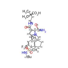 CC(C)(C)NS(=O)(=O)C1(C)C(C(F)(F)F)=CC2(C)C3=C1CCCC3Cn1c2cc(C(=O)NCCC(C)(C)C(=O)O)c1C(N)=O